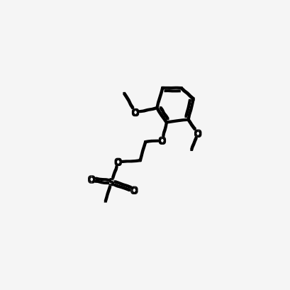 COc1cccc(OC)c1OCCOS(C)(=O)=O